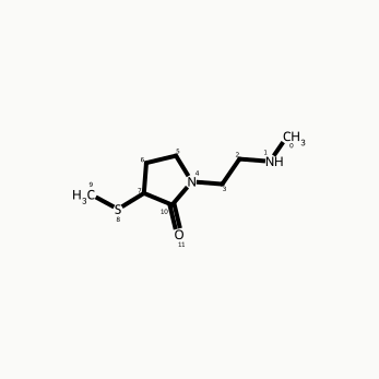 CNCCN1CCC(SC)C1=O